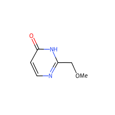 COCc1nccc(=O)[nH]1